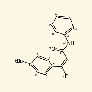 CC(C)(C)c1ccc(/C(F)=C\C(=O)Nc2ccccc2)cc1